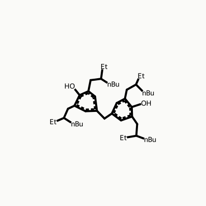 CCCCC(CC)Cc1cc(Cc2cc(CC(CC)CCCC)c(O)c(CC(CC)CCCC)c2)cc(CC(CC)CCCC)c1O